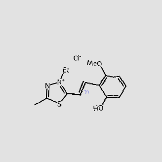 CC[n+]1nc(C)sc1/C=C/c1c(O)cccc1OC.[Cl-]